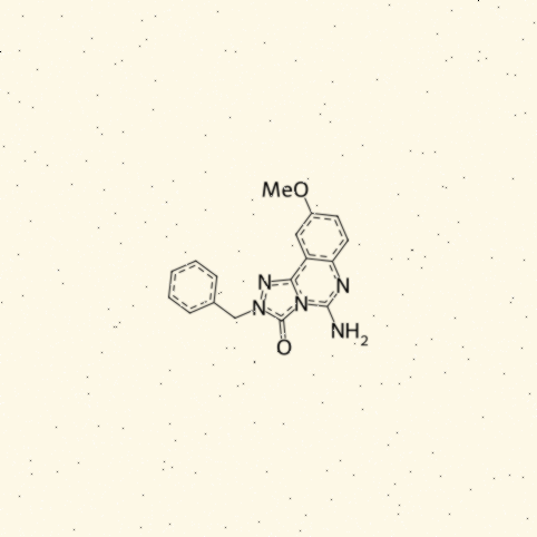 COc1ccc2nc(N)n3c(=O)n(Cc4ccccc4)nc3c2c1